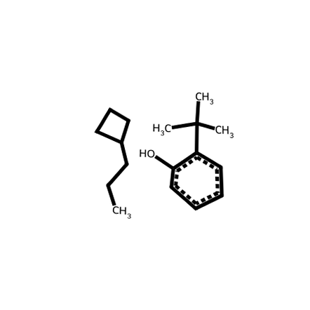 CC(C)(C)c1ccccc1O.CCCC1CCC1